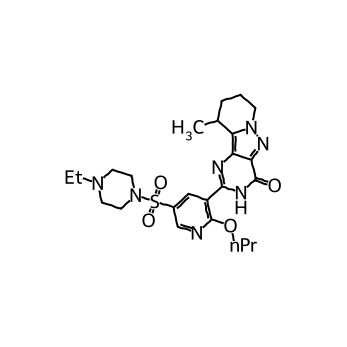 CCCOc1ncc(S(=O)(=O)N2CCN(CC)CC2)cc1-c1nc2c3n(nc2c(=O)[nH]1)CCCC3C